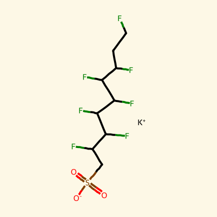 O=S(=O)([O-])CC(F)C(F)C(F)C(F)C(F)C(F)CCF.[K+]